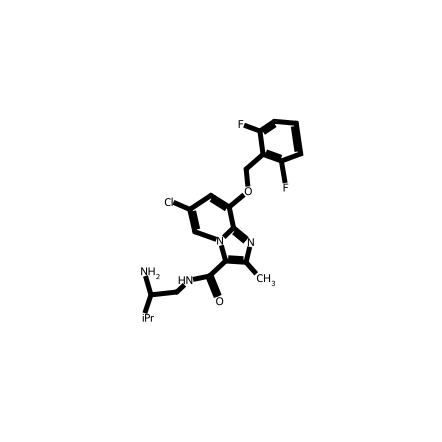 Cc1nc2c(OCc3c(F)cccc3F)cc(Cl)cn2c1C(=O)NCC(N)C(C)C